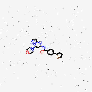 O=C(Nc1cc(N2CCOCC2)n2nccc2n1)c1ccc(-c2cccs2)cc1